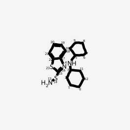 C1CCC(NC2CCCCC2)CC1.NSc1nc2ccccc2s1